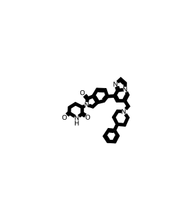 O=C1CCC(N2Cc3cc(-c4cc(CN5CCC(c6ccccc6)CC5)cn5ccnc45)ccc3C2=O)C(=O)N1